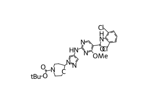 COc1nc(Nc2cnn(C3CCCN(C(=O)OC(C)(C)C)CC3)c2)ncc1C(=O)Nc1c(Cl)cccc1Cl